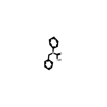 O=C([TeH])N(Cc1ccccc1)c1ccccc1